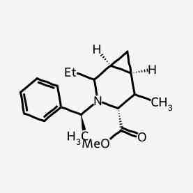 CCC1[C@H]2C[C@H]2C(C)[C@H](C(=O)OC)N1[C@@H](C)c1ccccc1